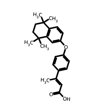 CC(=CC(=O)O)c1ccc(Oc2ccc3c(c2)C(C)(C)CCC3(C)C)cc1